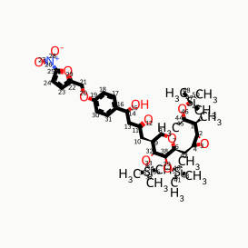 C[C@@H]([C@@H]1O[C@H]1C[C@@H]1OC[C@H](CC(=O)CC(O)c2ccc(OCc3ccc([N+](=O)[O-])o3)cc2)[C@@H](O[Si](C)(C)C)[C@@H]1O[Si](C)(C)C)[C@H](C)O[Si](C)(C)C